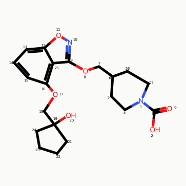 O=C(O)N1CCC(COc2noc3cccc(OCC4(O)CCCC4)c23)CC1